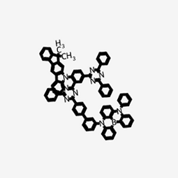 CC1(C)c2ccccc2-c2cc3c4ccccc4n(-c4ccc(-c5nc(-c6ccccc6)nc(-c6ccccc6)n5)cc4-c4nc(-c5ccccc5)nc(-c5ccc(-c6cccc(N7c8ccccc8B8c9ccccc9N(c9ccccc9)c9cccc7c98)c6)cc5)n4)c3cc21